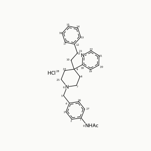 CC(=O)Nc1ccc(CN2CCC(CCc3ccccc3)(c3ccccn3)CC2)cc1.Cl